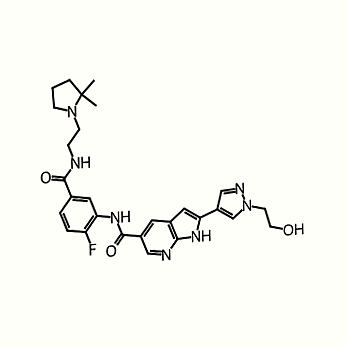 CC1(C)CCCN1CCNC(=O)c1ccc(F)c(NC(=O)c2cnc3[nH]c(-c4cnn(CCO)c4)cc3c2)c1